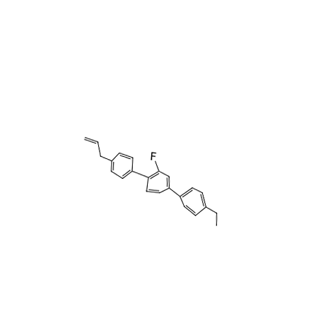 C=CCc1ccc(-c2ccc(-c3ccc(CC)cc3)cc2F)cc1